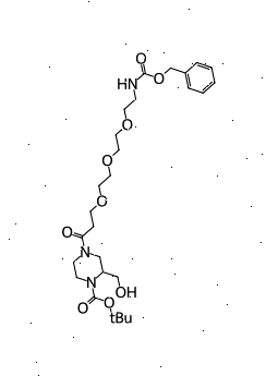 CC(C)(C)OC(=O)N1CCN(C(=O)CCOCCOCCOCCNC(=O)OCc2ccccc2)CC1CO